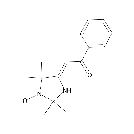 CC1(C)N/C(=C\C(=O)c2ccccc2)C(C)(C)N1[O]